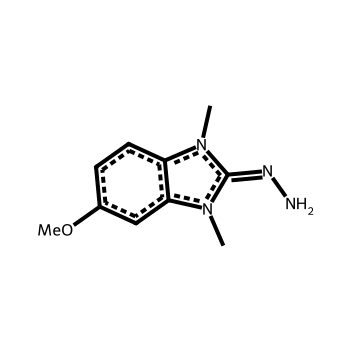 COc1ccc2c(c1)n(C)c(=NN)n2C